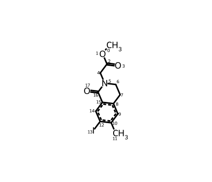 COC(=O)CN1CCc2cc(C)c(I)cc2C1=O